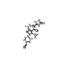 CC(C)n1nc(-c2ccc(C#N)cc2)c(C2CC2)c1C(=O)N[C@@H]1CCNC1